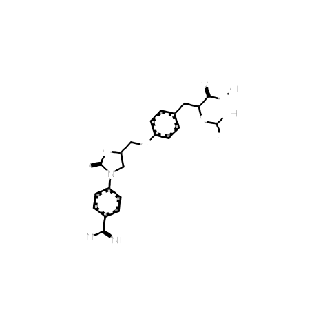 COC(=O)C(Cc1ccc(OCC2CN(c3ccc(C(=N)N)cc3)C(=O)O2)cc1)NC(C)C